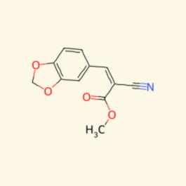 COC(=O)C(C#N)=Cc1ccc2c(c1)OCO2